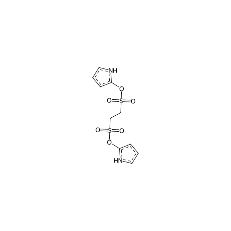 O=S(=O)(CCS(=O)(=O)Oc1ccc[nH]1)Oc1ccc[nH]1